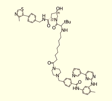 Cc1ccc(NC(=O)c2ccc(CN3CCN(C(=O)CCCCCCCCNC(C(=O)N4C[C@H](O)C[C@H]4C(=O)NCc4ccc(-c5scnc5C)cc4)C(C)(C)C)CC3)cc2)cc1Nc1nccc(-c2cccnc2)n1